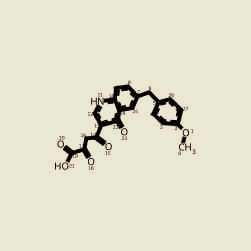 COc1ccc(Cc2ccc3[nH]cc(C(=O)CC(=O)C(=O)O)c(=O)c3c2)cc1